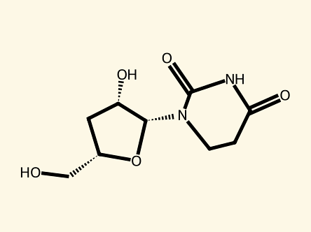 O=C1CCN([C@@H]2O[C@H](CO)C[C@@H]2O)C(=O)N1